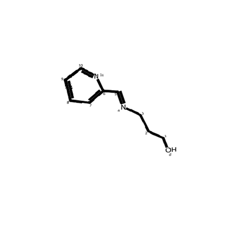 OCCC/N=C/c1ccccn1